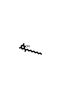 CCCCCCCCCCC(C)c1cc(C)cc(C)c1O